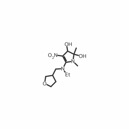 CCN(CC1CCOC1)C1=C([N+](=O)[O-])C(O)C(C)(O)N1C